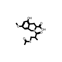 COc1cc(O)c2c(c1)CN(C(=O)C(C)CSC(C)=O)C(C(=O)O)C2